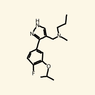 CCCN(C)Cc1c[nH]nc1-c1ccc(F)c(OC(C)C)c1